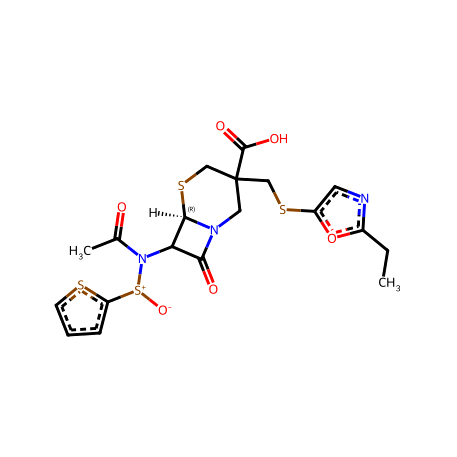 CCc1ncc(SCC2(C(=O)O)CS[C@@H]3C(N(C(C)=O)[S+]([O-])c4cccs4)C(=O)N3C2)o1